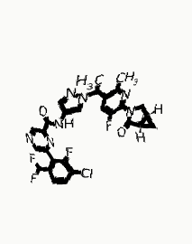 Cc1nc(N2C[C@H]3C[C@H]3C2=O)c(F)cc1C(C)n1cc(NC(=O)c2cncc(-c3c(C(F)F)ccc(Cl)c3F)n2)cn1